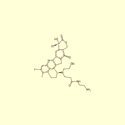 CC[C@@]1(O)C(=O)OCc2c1cc1n(c2=O)Cc2c-1nc1cc(F)c(C)c3c1c2[C@@H](N(CCO)CCC(=O)NCCN)CC3